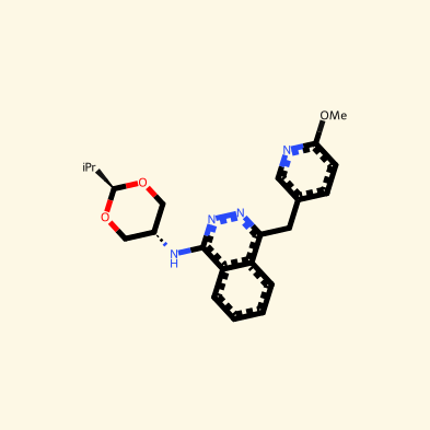 COc1ccc(Cc2nnc(N[C@H]3CO[C@H](C(C)C)OC3)c3ccccc23)cn1